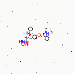 Cc1cc(COc2ccc(C[C@]3(C(=O)Nc4ccccc4)C[C@@H]3C(=O)NO)cc2)c2ccccc2n1